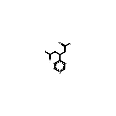 CC(=O)CC(CC(C)=O)c1ccncc1